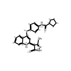 CCCC1=NNC(=O)/C1=C1/C=C(Sc2ccc(NC(=O)C3CCCC3)cc2)c2ccccc2N1